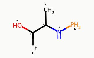 CCC(O)C(C)NP